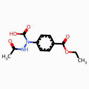 CCOC(=O)c1ccc(N(NC(C)=O)C(=O)O)cc1